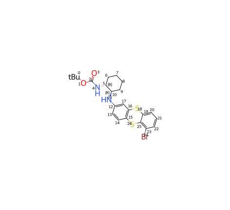 CC(C)(C)OC(=O)N[C@@H]1CCCC[C@H]1Nc1ccc2c(c1)Sc1cccc(Br)c1S2